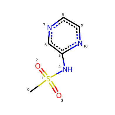 CS(=O)(=O)Nc1cn[c]cn1